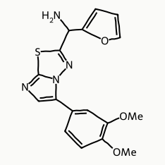 COc1ccc(-c2cnc3sc(C(N)c4ccco4)nn23)cc1OC